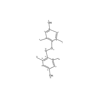 Cc1cc(O)cc(C)c1OOc1c(C)cc(O)cc1C